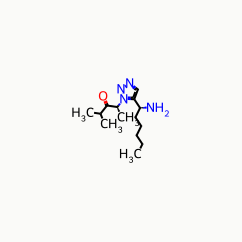 CCCCC[C@H](N)c1cnnn1[C@@H](C)C(=O)C(C)C